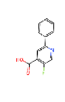 O=C(O)c1cc(-c2ccccc2)ncc1F